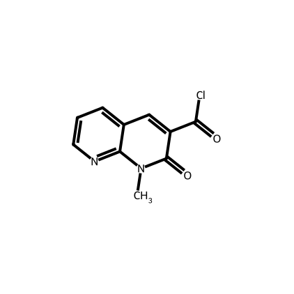 Cn1c(=O)c(C(=O)Cl)cc2cccnc21